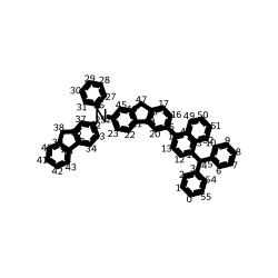 c1ccc(C(c2ccccc2)c2ccc(-c3ccc4c(c3)-c3ccc(N(c5ccccc5)c5ccc6c(c5)Cc5ccccc5-6)cc3C4)c3ccccc23)cc1